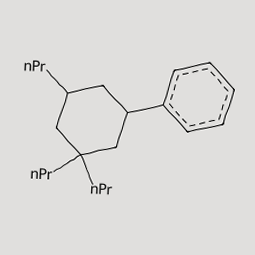 CCCC1CC(c2ccccc2)CC(CCC)(CCC)C1